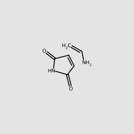 C=CN.O=C1C=CC(=O)N1